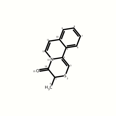 CC1SC=C2c3ccccc3C=CN2C1=O